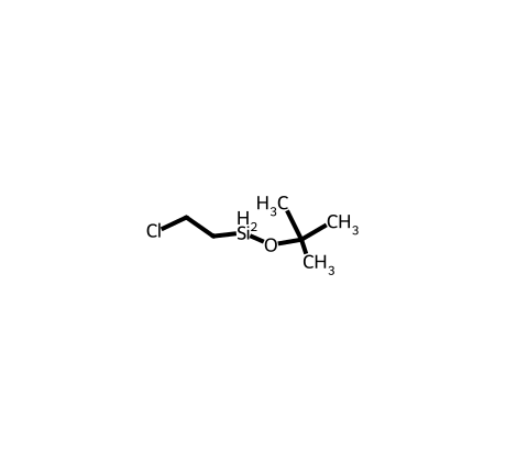 CC(C)(C)O[SiH2]CCCl